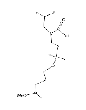 CON(C)CCCOC(C)(C)CCN(CC(F)F)C(=O)Cl